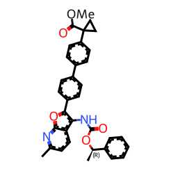 COC(=O)C1(c2ccc(-c3ccc(-c4oc5nc(C)ccc5c4NC(=O)O[C@H](C)c4ccccc4)cc3)cc2)CC1